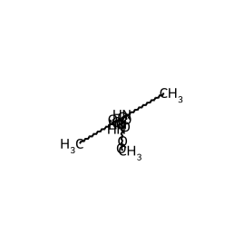 CCCCCCCCCCCCCCCCCCNC(=O)OC(COC(=O)NCCCCCCCCCCCCCCCC)COC(=O)NCCCCOCCOC